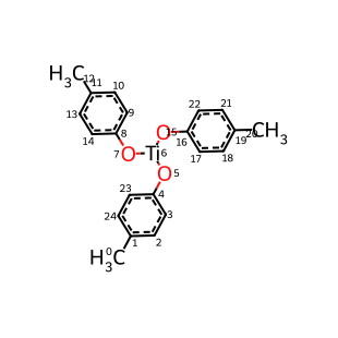 Cc1ccc([O][Ti]([O]c2ccc(C)cc2)[O]c2ccc(C)cc2)cc1